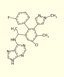 Cc1c(Cl)cc(C(C)Nc2ncnc3[nH]cnc23)c(-c2cccc(F)c2)c1-c1cnn(C)c1